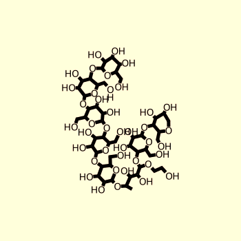 CC(OC1OC(CO)C(OC2OC(CO)C(OC3OC(CO)C(OC4OC(CO)C(OC5OC(CO)C(O)C(O)C5O)C(O)C4O)C(O)C3O)C(O)C2O)C(O)C1O)C(O)C(O)C(OCCO)OC1C(CO)OC(OC2C(CO)OCC(O)C2O)C(O)C1O